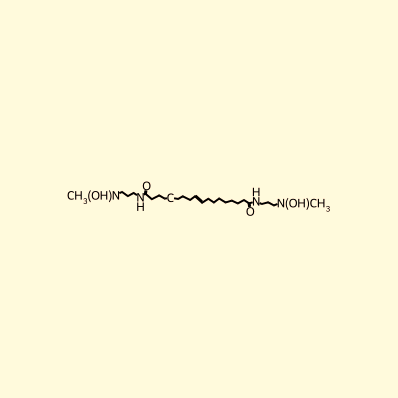 CN(O)CCCNC(=O)CCCCCCC/C=C/CCCCCCCC(=O)NCCCN(C)O